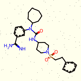 N=C(N)c1cccc(N(C(=O)NC2CCN(S(=O)(=O)CCc3ccccc3)CC2)C2CCCCCC2)c1